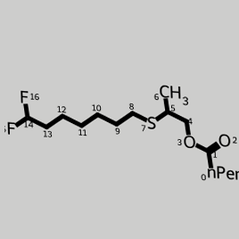 CCCCCC(=O)OCC(C)SCCCCCCC(F)F